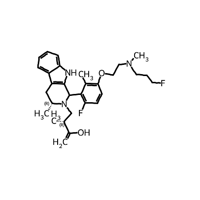 C=C(O)[C@H](C)CN1C(c2c(F)ccc(OCCN(C)CCCF)c2C)c2[nH]c3ccccc3c2C[C@H]1C